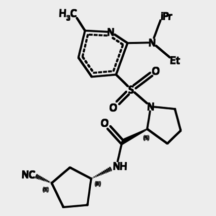 CCN(c1nc(C)ccc1S(=O)(=O)N1CCC[C@H]1C(=O)N[C@@H]1CC[C@H](C#N)C1)C(C)C